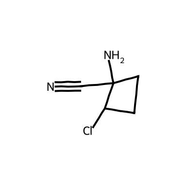 N#CC1(N)CCC1Cl